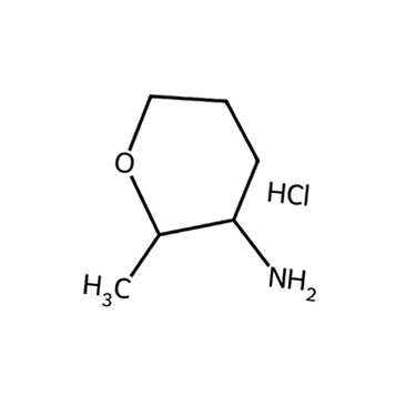 CC1OCCCC1N.Cl